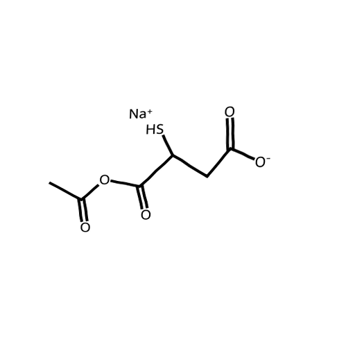 CC(=O)OC(=O)C(S)CC(=O)[O-].[Na+]